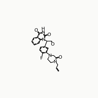 C=CCN1CCN(c2cc(C(C=O)n3c(=O)[nH]c(=O)c4ccccc43)ccc2F)CC1=O